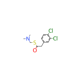 CN(C)CSC(=O)Cc1ccc(Cl)c(Cl)c1